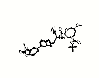 CO[C@@H]1CCN(C(=O)OC(C)(C)C)C[C@@H](C(=O)NC(C#N)Cc2cc3ccc(-c4ccc5oc(=O)n(C)c5c4)cc3[nH]2)OC1